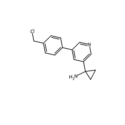 NC1(c2cncc(-c3ccc(CCl)cc3)c2)CC1